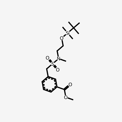 COC(=O)c1cccc(CS(=O)(=O)N(C)CCO[Si](C)(C)C(C)(C)C)c1